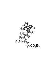 CCOC(=O)c1csc([C@@H](C[C@H](C(C)C)N(C)C(=O)[C@@H](NC(=O)[C@@]2(C)CCCN2C)C(C)CC)NC(C)=O)n1